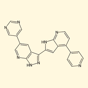 c1cc(-c2ccnc3[nH]c(-c4n[nH]c5ncc(-c6cncnc6)cc45)cc23)ccn1